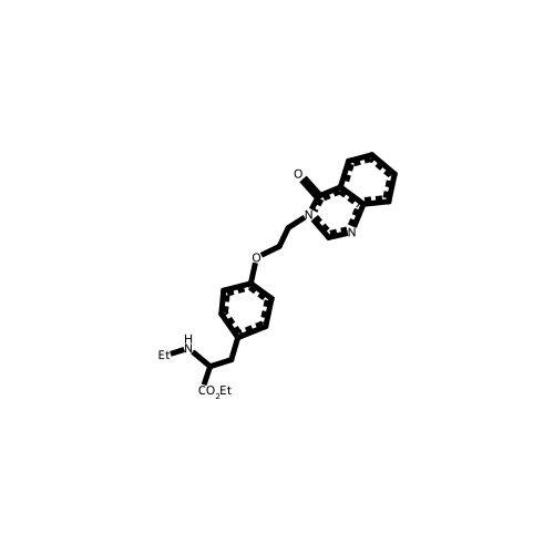 CCNC(Cc1ccc(OCCn2cnc3ccccc3c2=O)cc1)C(=O)OCC